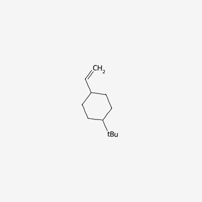 C=CC1CCC(C(C)(C)C)CC1